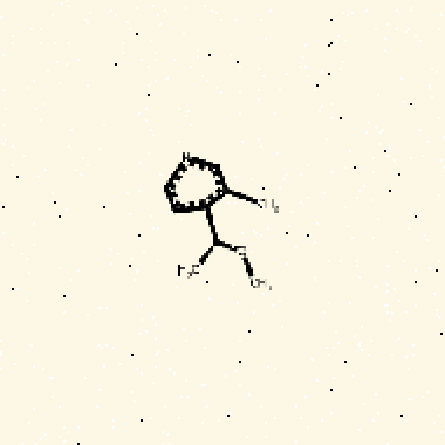 CO[C@@H](C)c1ccncc1C